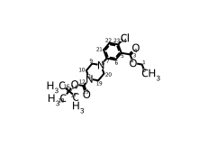 CCOC(=O)c1cc(N2CCN(C(=O)OC(C)(C)C)CC2)ccc1Cl